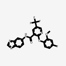 COc1cc(F)ccc1Oc1ncc(C(F)(F)F)cc1C(=O)Nc1ccc2ncsc2c1